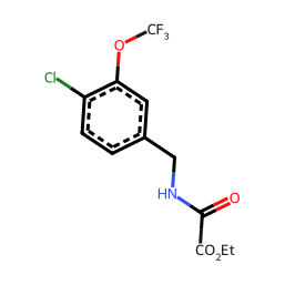 CCOC(=O)C(=O)NCc1ccc(Cl)c(OC(F)(F)F)c1